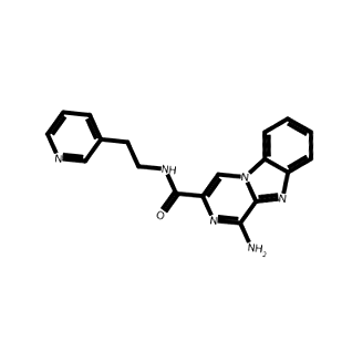 Nc1nc(C(=O)NCCc2cccnc2)cn2c1nc1ccccc12